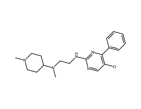 CN1CCC(N(C)CCNc2ncc(Cl)c(-c3ccccc3)n2)CC1